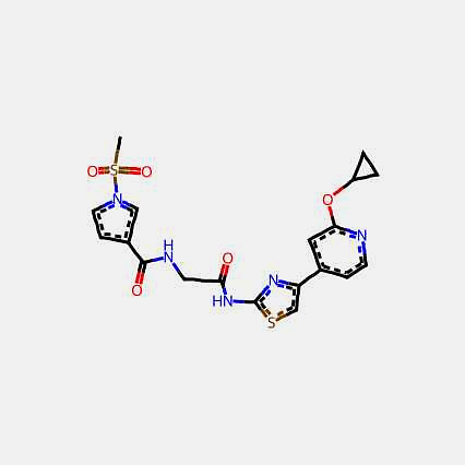 CS(=O)(=O)n1ccc(C(=O)NCC(=O)Nc2nc(-c3ccnc(OC4CC4)c3)cs2)c1